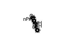 CCCN1C(=O)C(C)(C)c2cc3[nH]c(NC(=O)c4ccccc4)nc3cc21